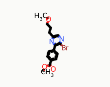 COCCCc1cnc(Br)c(-c2ccc(C(=O)OC)cc2)n1